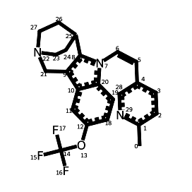 Cc1ccc(/C=C\n2c3c(c4cc(OC(F)(F)F)ccc42)CN2CCC3CC2)cn1